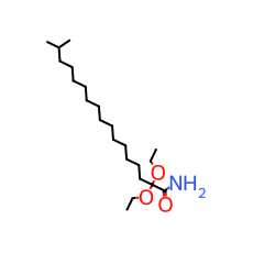 CCOC(CCCCCCCCCCCCCC(C)C)(OCC)C(N)=O